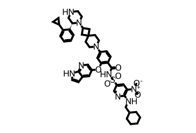 O=C(NS(=O)(=O)c1cnc(NCC2CCCCC2)c([N+](=O)[O-])c1)c1ccc(N2CCC3(CC2)CC(N2CCNC[C@H]2c2ccccc2C2CC2)C3)cc1Oc1cnc2[nH]ccc2c1